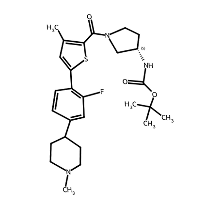 Cc1cc(-c2ccc(C3CCN(C)CC3)cc2F)sc1C(=O)N1CC[C@H](NC(=O)OC(C)(C)C)C1